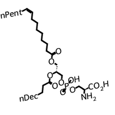 CCCCC/C=C\CCCCCCCC(=O)OC[C@H](COP(=O)(O)OC[C@H](N)C(=O)O)OC(=O)CCCCCCCCCCCC